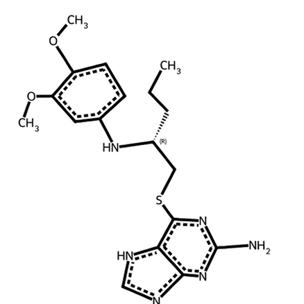 CCC[C@H](CSc1nc(N)nc2nc[nH]c12)Nc1ccc(OC)c(OC)c1